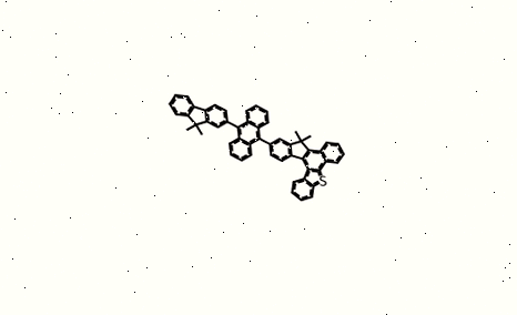 CC1(C)c2ccccc2-c2ccc(-c3c4ccccc4c(-c4ccc5c(c4)C(C)(C)c4c-5c5c6ccccc6sc5c5ccccc45)c4ccccc34)cc21